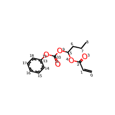 C=CC(=O)OC(CCC)OC(=O)Oc1ccccc1